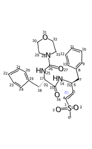 CS(=O)(=O)/C=C/[C@H](Cc1ccccc1)NC(=O)[C@H](Cc1ccccc1)NC(=O)N1CCOCC1